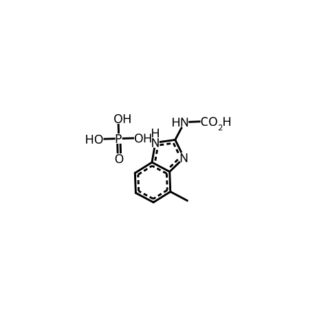 Cc1cccc2[nH]c(NC(=O)O)nc12.O=P(O)(O)O